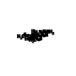 CSCC[C@H](NS(=O)(=O)c1cc(-c2cnc(N)nc2N)ccc1C)C(=O)O